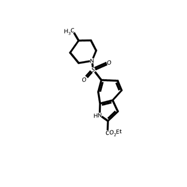 CCOC(=O)c1cc2ccc(S(=O)(=O)N3CCC(C)CC3)cc2[nH]1